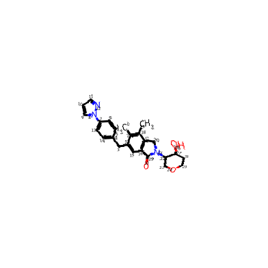 Cc1c(Cc2ccc(-n3cccn3)cc2)cc2c(c1C)CN(C1COCCC1O)C2=O